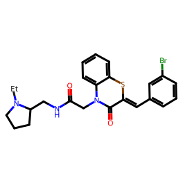 CCN1CCCC1CNC(=O)CN1C(=O)C(=Cc2cccc(Br)c2)Sc2ccccc21